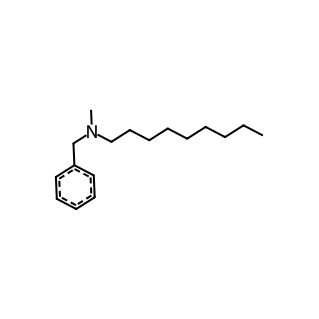 CCCCCCCCCN(C)Cc1ccccc1